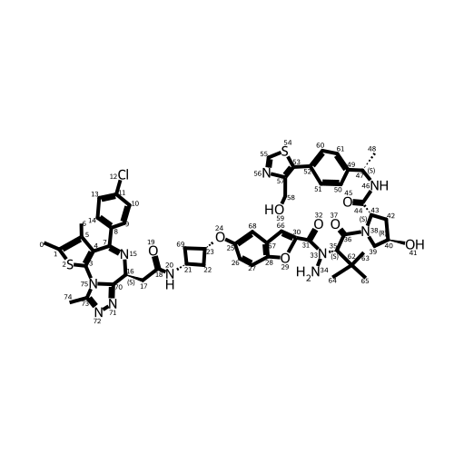 Cc1sc2c(c1C)C(c1ccc(Cl)cc1)=N[C@@H](CC(=O)N[C@H]1C[C@@H](Oc3ccc4oc(C(=O)N(N)[C@H](C(=O)N5C[C@H](O)C[C@H]5C(=O)N[C@@H](C)c5ccc(-c6scnc6CO)cc5)C(C)(C)C)cc4c3)C1)c1nnc(C)n1-2